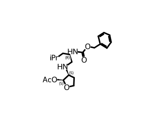 CC(=O)O[C@@H]1OCC[C@@H]1NC[C@@H](CC(C)C)NC(=O)OCc1ccccc1